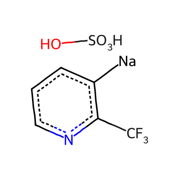 FC(F)(F)c1nccc[c]1[Na].O=S(=O)(O)O